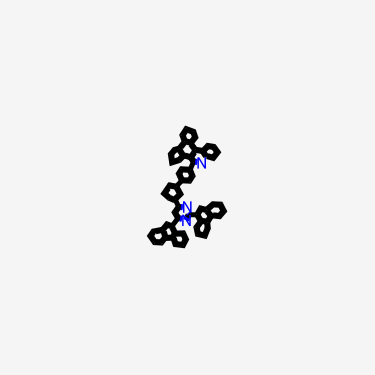 c1cc(-c2ccc(-c3nc4ccccc4c4c5ccccc5c5ccccc5c34)cc2)cc(-c2cc(-c3cc4ccccc4c4ccccc34)nc(-c3cc4ccccc4c4ccccc34)n2)c1